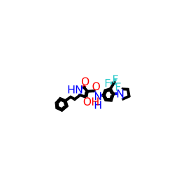 O=C(Nc1ccc(N2CCCC2)c(C(F)(F)F)c1)C1=C(O)C(CCc2ccccc2)NC1=O